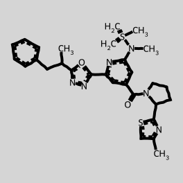 C=S(=C)(C)N(C)c1cc(C(=O)N2CCCC2c2nc(C)cs2)cc(-c2nnc(C(C)Cc3ccccc3)o2)n1